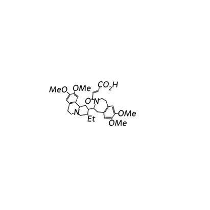 CCC1CN2CCc3cc(OC)c(OC)cc3C2CC1C1Cc2cc(OC)c(OC)cc2CCN1C(=O)/C=C/C(=O)O